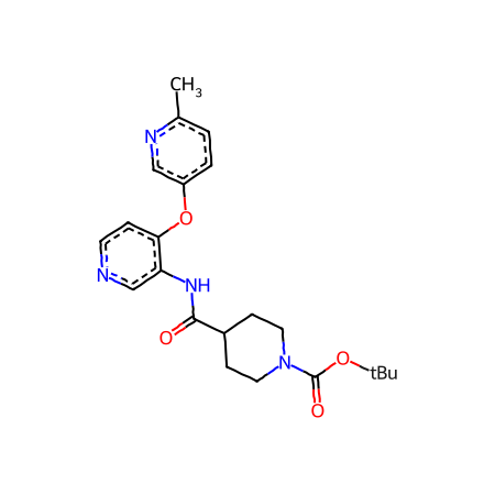 Cc1ccc(Oc2ccncc2NC(=O)C2CCN(C(=O)OC(C)(C)C)CC2)cn1